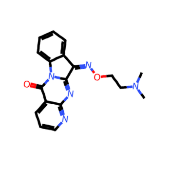 CN(C)CCON=C1c2ccccc2-n2c1nc1ncccc1c2=O